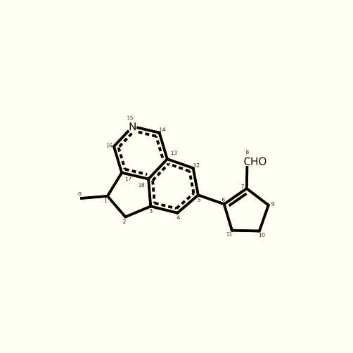 CC1Cc2cc(C3=C(C=O)CCC3)cc3cncc1c23